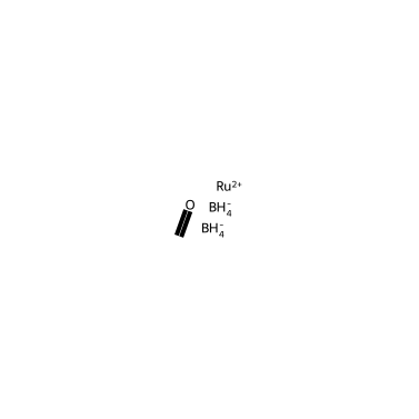 C=O.[BH4-].[BH4-].[Ru+2]